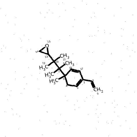 C=CC1=CCC(C)(C(C)(C)C(C)(C)C2CO2)C=C1